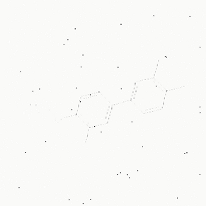 Cc1ccc(-c2ccc(OC(=O)O)c(F)c2)cc1C